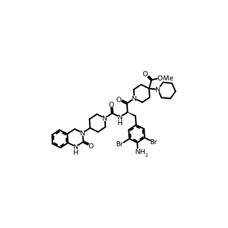 COC(=O)C1(N2CCCCC2)CCN(C(=O)[C@@H](Cc2cc(Br)c(N)c(Br)c2)NC(=O)N2CCC(N3Cc4ccccc4NC3=O)CC2)CC1